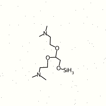 CN(C)CCOC(CO[SiH3])OCCN(C)C